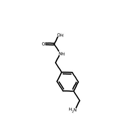 NCc1ccc(CNC(=O)O)cc1